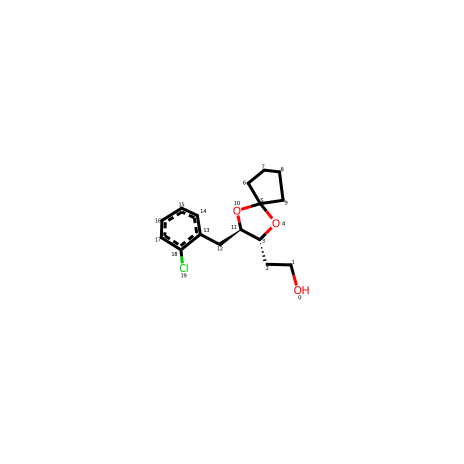 OCC[C@H]1OC2(CCCC2)O[C@@H]1Cc1ccccc1Cl